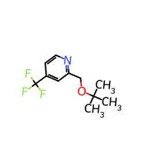 CC(C)(C)OCc1cc(C(F)(F)F)ccn1